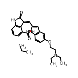 CCN.CCN(CC)CCOc1ccc2[nH]c(/C=C3/C(=O)Nc4cccc(C(=O)O)c43)cc2c1